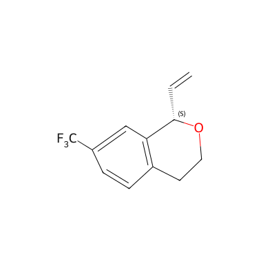 C=C[C@@H]1OCCc2ccc(C(F)(F)F)cc21